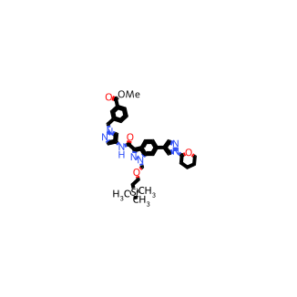 COC(=O)c1cccc(Cn2cc(NC(=O)c3nn(COCC[Si](C)(C)C)c4cc(-c5cnn(C6CCCCO6)c5)ccc34)cn2)c1